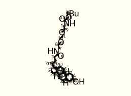 C[C@H](CCC(=O)NCCOCCOCCNC(=O)OC(C)(C)C)[C@H]1CC[C@H]2[C@@H]3CC[C@@H]4C[C@H](O)CC[C@]4(C)[C@H]3CC[C@]12C